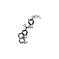 COc1ccc(NC(=O)c2ccc3c(c2)CCN2CCNC[C@@H]32)cn1